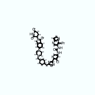 CC(C)c1c(NC(=O)Nc2cnc(-c3noc(CC4CCC(CN5CCN(c6ccc7c(c6)CN(C6CCC(=O)NC6=O)C7=O)CC5)CC4)n3)c(Cl)c2)cnc2ccnn12